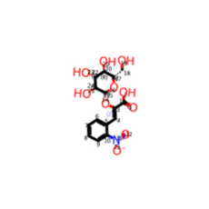 O=C(O)/C(=C/c1ccccc1[N+](=O)[O-])O[C@H]1O[C@@H](CO)[C@H](O)[C@@H](O)[C@@H]1O